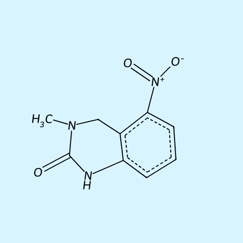 CN1Cc2c(cccc2[N+](=O)[O-])NC1=O